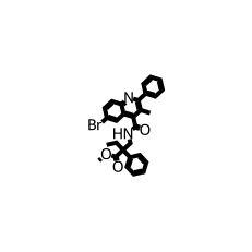 CCC(CNC(=O)c1c(C)c(-c2ccccc2)nc2ccc(Br)cc12)(C(=O)OC)c1ccccc1